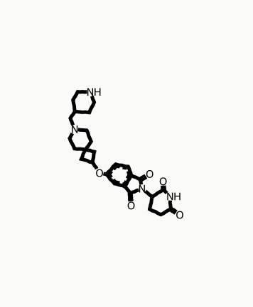 O=C1CCC(N2C(=O)c3ccc(OC4CC5(CCN(CC6CCNCC6)CC5)C4)cc3C2=O)C(=O)N1